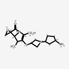 CC1C(SC2CN(C3CCC(N)C3)C2)=C(C(=O)O)N2C(=O)C3(CO3)C12